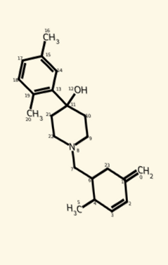 C=C1C=CC(C)C(CN2CCC(O)(c3cc(C)ccc3C)CC2)C1